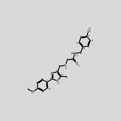 CSc1ccc(-c2nc(CSCC(=O)NCc3ccc(Cl)cc3)c(C)o2)cc1